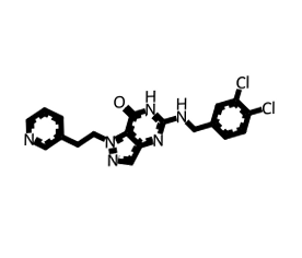 O=c1[nH]c(NCc2ccc(Cl)c(Cl)c2)nc2cnn(CCc3cccnc3)c12